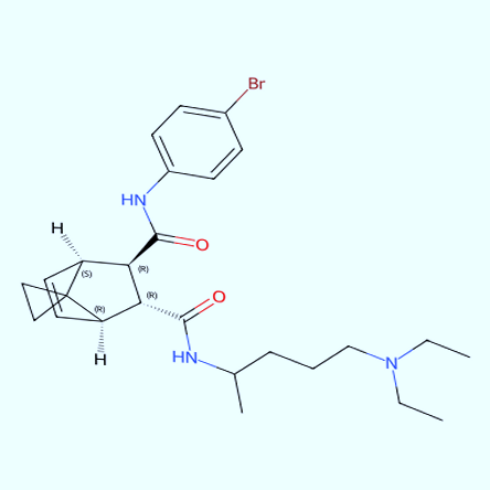 CCN(CC)CCCC(C)NC(=O)[C@H]1[C@H](C(=O)Nc2ccc(Br)cc2)[C@@H]2C=C[C@H]1C21CC1